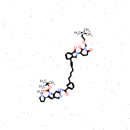 CN1CCC[C@@H]1c1cc2cnc(NC(=O)c3cccc(CCCCC#Cc4cccc5c4CN(C4CCC(=O)N(COCC[Si](C)(C)C)C4=O)C5=O)c3)cc2n1C(=O)OC(C)(C)C